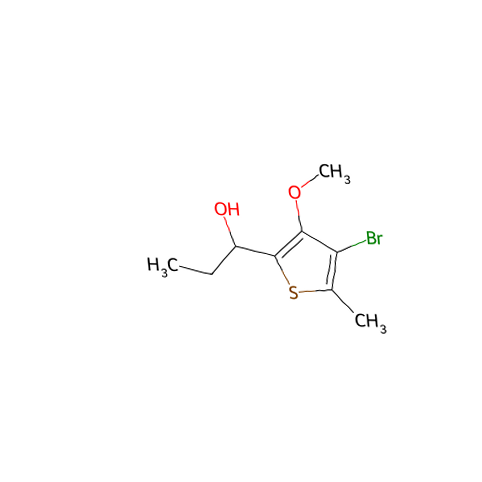 CCC(O)c1sc(C)c(Br)c1OC